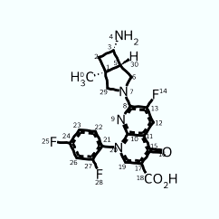 C[C@]12C[C@H](N)[C@@H]1CN(c1nc3c(cc1F)c(=O)c(C(=O)O)cn3-c1ccc(F)cc1F)C2